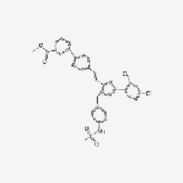 COC(=O)c1cccc(-c2ccc(C=Cc3nc(-c4ccc(Cl)cc4Cl)cn3Cc3ccc(NS(C)(=O)=O)cc3)cc2)c1